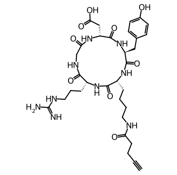 C#CCCC(=O)NCCCC[C@H]1NC(=O)[C@H](Cc2ccc(O)cc2)NC(=O)[C@@H](CC(=O)O)NC(=O)CNC(=O)[C@@H](CCCNC(=N)N)NC1=O